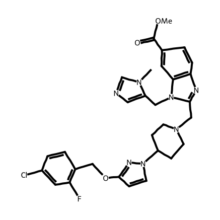 COC(=O)c1ccc2nc(CN3CCC(n4ccc(OCc5ccc(Cl)cc5F)n4)CC3)n(Cc3cncn3C)c2c1